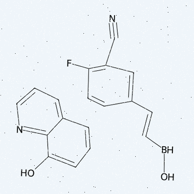 N#Cc1cc(C=CBO)ccc1F.Oc1cccc2cccnc12